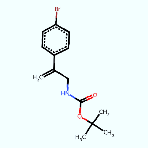 C=C(CNC(=O)OC(C)(C)C)c1ccc(Br)cc1